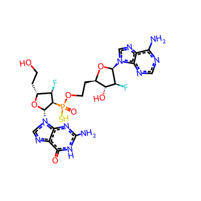 Nc1nc2c(ncn2[C@@H]2O[C@H](CCO)[C@@H](F)[C@H]2P(=O)(S)OCC[C@H]2O[C@@H](n3cnc4c(N)ncnc43)[C@@H](F)[C@@H]2O)c(=O)[nH]1